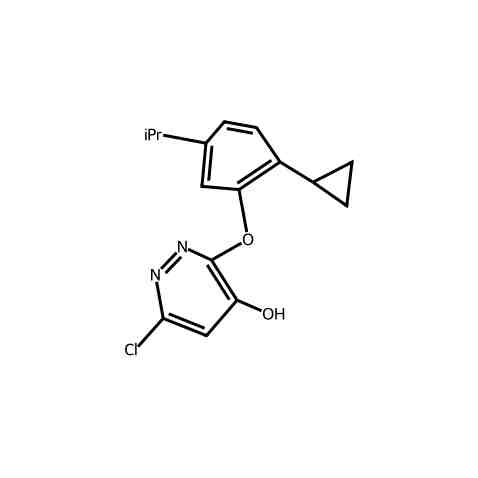 CC(C)c1ccc(C2CC2)c(Oc2nnc(Cl)cc2O)c1